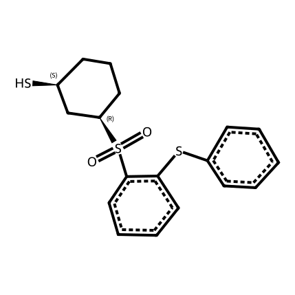 O=S(=O)(c1ccccc1Sc1ccccc1)[C@@H]1CCC[C@H](S)C1